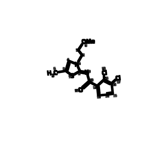 COCCn1cc(C)s/c1=N\C(=O)c1cccc(Cl)c1Cl